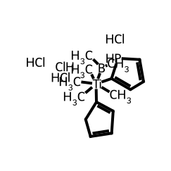 C[B](C)[Ti]([CH3])([CH3])([CH3])([CH3])([C]1=CC=CC1)[c]1ccc[pH]1.Cl.Cl.Cl.Cl